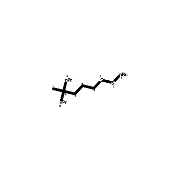 CCCCSSCCCC(C)(CCC)CCC